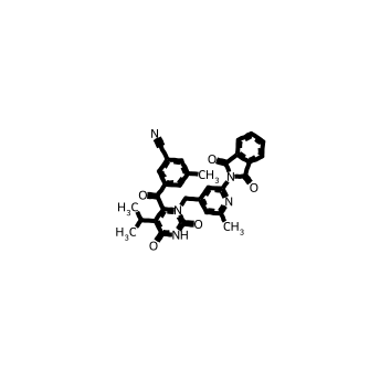 Cc1cc(C#N)cc(C(=O)c2c(C(C)C)c(=O)[nH]c(=O)n2Cc2cc(C)nc(N3C(=O)c4ccccc4C3=O)c2)c1